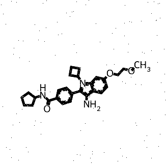 COCCOc1ccc2c(N)c(-c3ccc(C(=O)NC4CCCC4)cc3)n(C3CCC3)c2c1